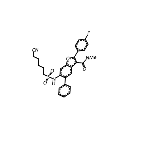 CNC(=O)c1c(-c2ccc(F)cc2)oc2cc(NS(=O)(=O)CCCCCC#N)c(-c3ccccc3)cc12